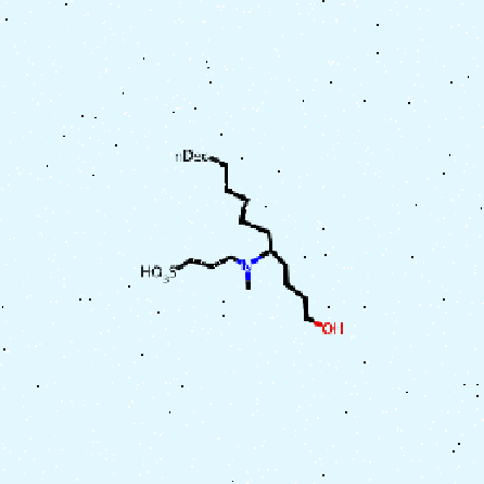 CCCCCCCCCCCCCCCC(CCCCO)N(C)CCCS(=O)(=O)O